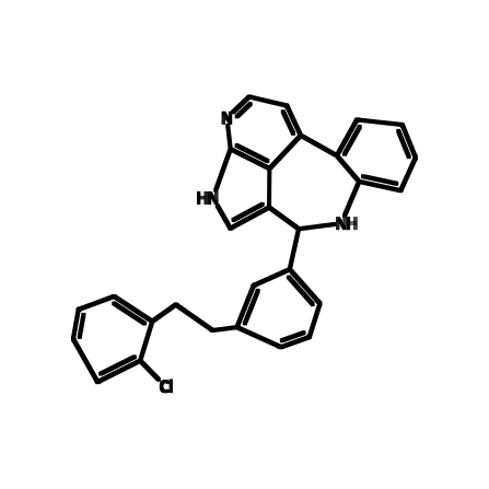 Clc1ccccc1CCc1cccc(C2Nc3ccccc3-c3ccnc4[nH]cc2c34)c1